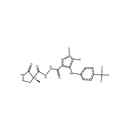 Cn1nc(C(=O)NNC(=O)[C@]2(C)CCNC2=O)c(Nc2ccc(C(F)(F)F)cc2)c1F